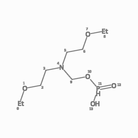 CCOCCN(CCOCC)CO[PH](=O)O